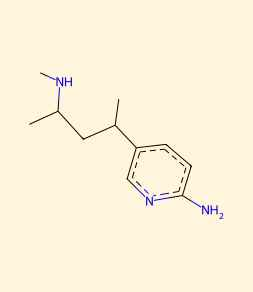 CNC(C)CC(C)c1ccc(N)nc1